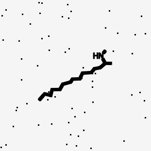 CCCCCCCCCCCCCC(C)NC